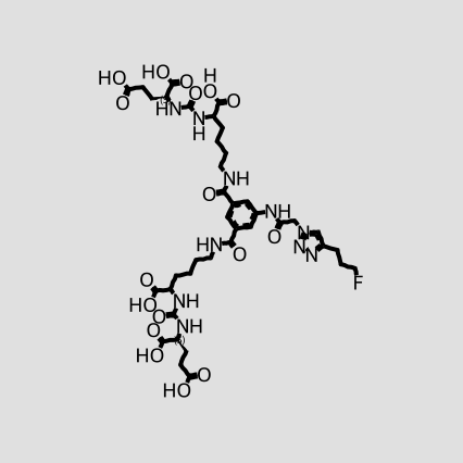 O=C(O)CC[C@H](NC(=O)NC(CCCCNC(=O)c1cc(NC(=O)Cn2cc(CCCF)nn2)cc(C(=O)NCCCCC(NC(=O)N[C@@H](CCC(=O)O)C(=O)O)C(=O)O)c1)C(=O)O)C(=O)O